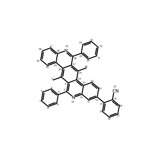 Cc1c2c(-c3ccccc3)nc3cc(-c4ccccc4C#N)ccc3c2c(C)c2c(-c3ccccc3)nc3ccccc3c12